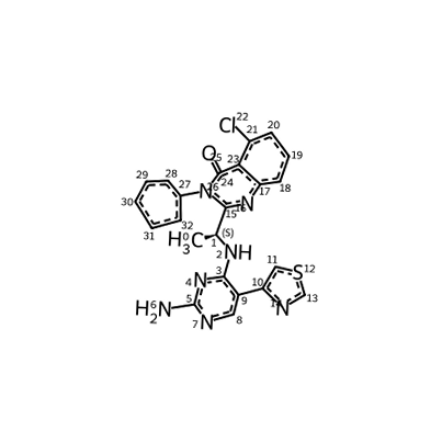 C[C@H](Nc1nc(N)ncc1-c1cscn1)c1nc2cccc(Cl)c2c(=O)n1-c1ccccc1